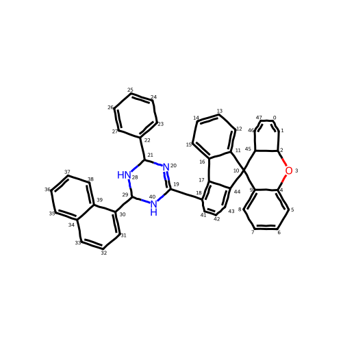 C1=CC2Oc3ccccc3C3(c4ccccc4-c4c(C5=NC(c6ccccc6)NC(c6cccc7ccccc67)N5)cccc43)C2C=C1